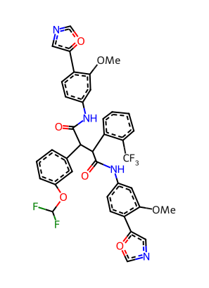 COc1cc(NC(=O)C(c2cccc(OC(F)F)c2)C(C(=O)Nc2ccc(-c3cnco3)c(OC)c2)c2ccccc2C(F)(F)F)ccc1-c1cnco1